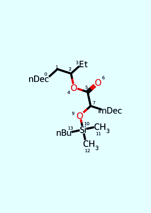 CCCCCCCCCCCC(CC)OC(=O)C(CCCCCCCCCC)O[Si](C)(C)CCCC